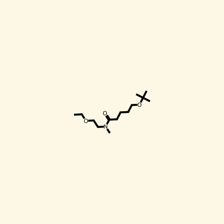 CCOCCN(C)C(=O)CCCCOC(C)(C)C